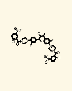 CC(C(=O)C(C)c1ccc(N2CCN(C(=O)c3cc([N+](=O)[O-])ccc3Cl)CC2)c(F)c1)c1ccc(N2CCN(C(=O)c3cc([N+](=O)[O-])ccc3Cl)CC2)c(F)c1